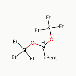 CCCCC[SiH](O[Si](CC)(CC)CC)O[Si](CC)(CC)CC